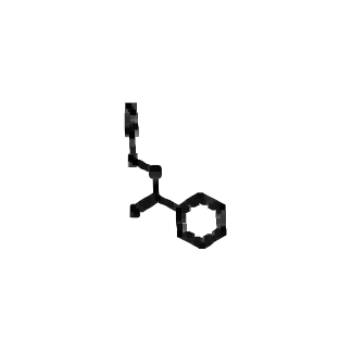 N#CSOC(=S)c1ccccc1